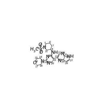 CS(=O)(=O)N1CCCC(Nc2nc(N3CCOCC3)ncc2-c2cnc3[nH]ccc3n2)C1